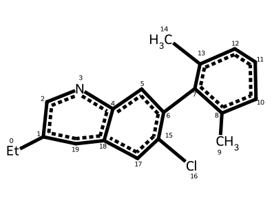 CCc1cnc2cc(-c3c(C)cccc3C)c(Cl)cc2c1